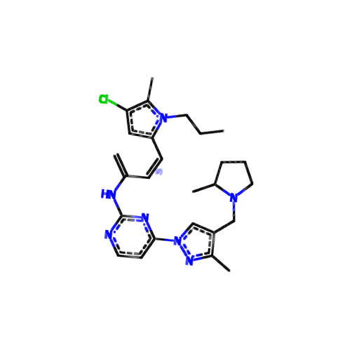 C=C(/C=C\c1cc(Cl)c(C)n1CCC)Nc1nccc(-n2cc(CN3CCCC3C)c(C)n2)n1